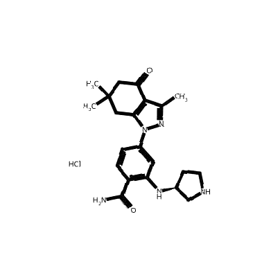 Cc1nn(-c2ccc(C(N)=O)c(N[C@H]3CCNC3)c2)c2c1C(=O)CC(C)(C)C2.Cl